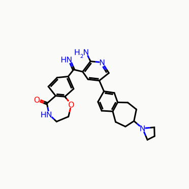 N=C(c1ccc2c(c1)OCCNC2=O)c1cc(-c2ccc3c(c2)CCC(N2CCC2)CC3)cnc1N